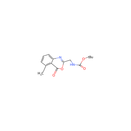 Cc1cccc2nc(CNC(=O)OC(C)(C)C)oc(=O)c12